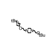 CC(C)(C)OCCN1CCN(CCOC2CN(C(C)(C)C)C2)CC1